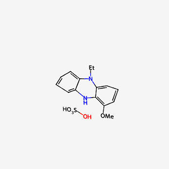 CCN1c2ccccc2Nc2c(OC)cccc21.O=S(=O)(O)O